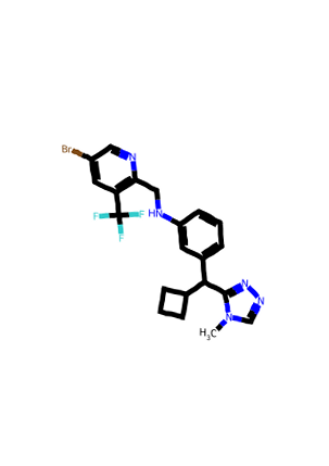 Cn1cnnc1C(c1cccc(NCc2ncc(Br)cc2C(F)(F)F)c1)C1CCC1